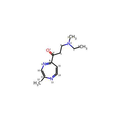 CCN(C)CCC(=O)C1=NC=C(C)N=C=C1